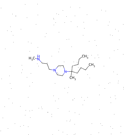 CCCCC(C)(CCCC)N1CCN(CCCNC)CC1